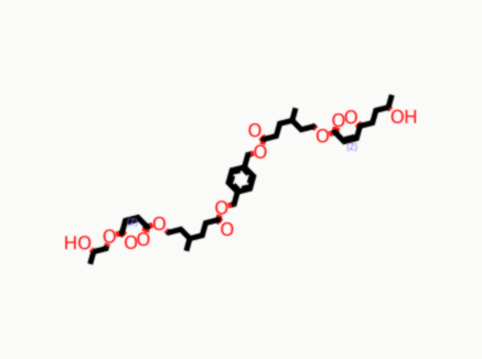 CC(O)CCC(=O)/C=C\C(=O)OCCC(C)CCC(=O)OCc1ccc(COC(=O)CCC(C)CCOC(=O)/C=C\C(=O)OCC(C)O)cc1